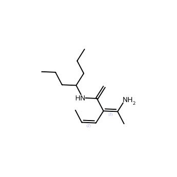 C=C(NC(CCC)CCC)C(/C=C\C)=C(/C)N